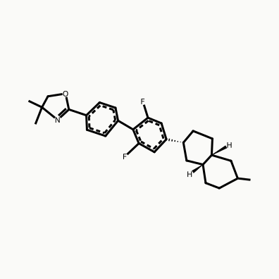 CC1CC[C@@H]2C[C@H](c3cc(F)c(-c4ccc(C5=NC(C)(C)CO5)cc4)c(F)c3)CC[C@@H]2C1